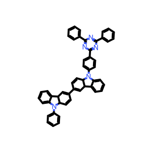 C1=CC2C(C=C1C1=CC3c4ccccc4N(c4ccc(-c5nc(-c6ccccc6)nc(-c6ccccc6)n5)cc4)C3C=C1)c1ccccc1N2c1ccccc1